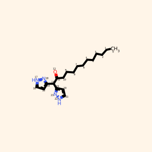 CCCCCCCCCCCC(=O)C(c1cc[nH]n1)c1cc[nH]n1